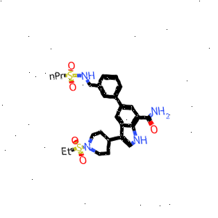 CCCS(=O)(=O)NCc1cccc(-c2cc(C(N)=O)c3[nH]cc(C4CCN(S(=O)(=O)CC)CC4)c3c2)c1